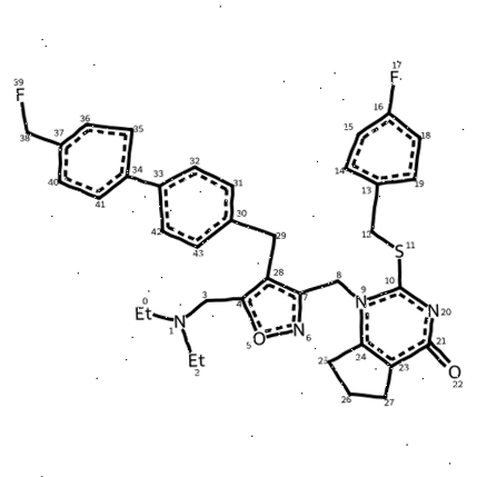 CCN(CC)Cc1onc(Cn2c(SCc3ccc(F)cc3)nc(=O)c3c2CCC3)c1Cc1ccc(-c2ccc(CF)cc2)cc1